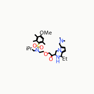 CCC1NC(C(=O)COCCN(CC(C)C)S(=O)(=O)c2c(C)cc(OC)c(C)c2C)Cn2c(CN(C)C)ccc21